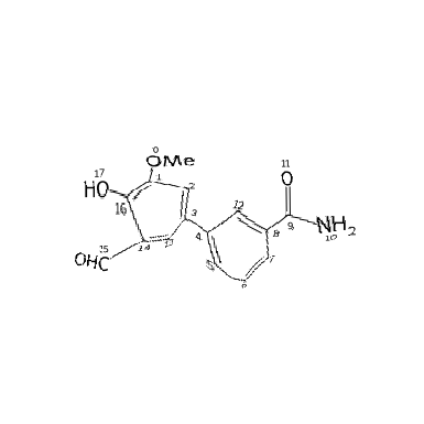 COc1cc(-c2cccc(C(N)=O)c2)cc(C=O)c1O